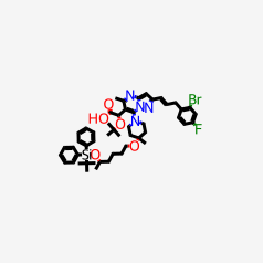 Cc1nc2cc(C=CCc3ccc(F)cc3Br)nn2c(N2CCC(C)(OCCCCC(C)O[Si](c3ccccc3)(c3ccccc3)C(C)(C)C)CC2)c1C(OC(C)(C)C)C(=O)O